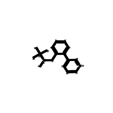 CN(Cc1ccccc1-c1cccnc1)C(C)(C)C